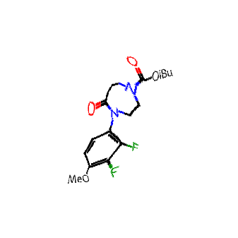 COc1ccc(N2CCN(C(=O)OCC(C)C)CC2=O)c(F)c1F